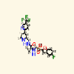 O=C(NCc1cc(-c2ccc(C(F)(F)F)cn2)ccn1)C1(NCS(=O)(=O)c2cc3cc(F)ccc3o2)CC1